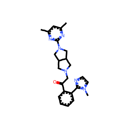 Cc1cc(C)nc(N2CC3CN(CC(=O)c4ccccc4-c4nccn4C)CC3C2)n1